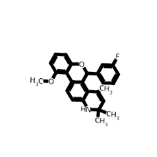 COc1cccc2c1-c1ccc3c(c1C(c1cccc(F)c1)O2)C(C)=CC(C)(C)N3